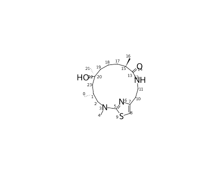 C[C@H]1CN(C)c2nc(cs2)CCNC(=O)[C@H](C)CCC[C@](C)(O)C1